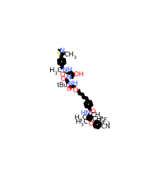 Cc1ncsc1-c1ccc([C@H](C)NC(=O)[C@@H]2C[C@@H](O)CN2C(=O)[C@@H](NC(=O)COCCCCCc2ccc(C(=O)N[C@H]3C(C)(C)[C@H](Oc4ccc(C#N)c(C(F)(F)F)c4)C3(C)C)cc2)C(C)(C)C)cc1